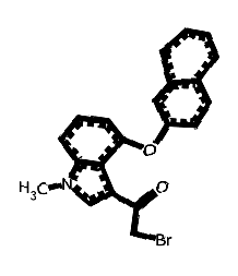 Cn1cc(C(=O)CBr)c2c(Oc3ccc4ccccc4c3)cccc21